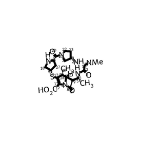 CNCC(=O)N[C@H](C)[C@H]1C(=O)N2C(C(=O)O)=C(S[C@@H]3CN[C@H](C(=O)N4CC[C@H](N)C4)C3)[C@H](C)[C@@H]12